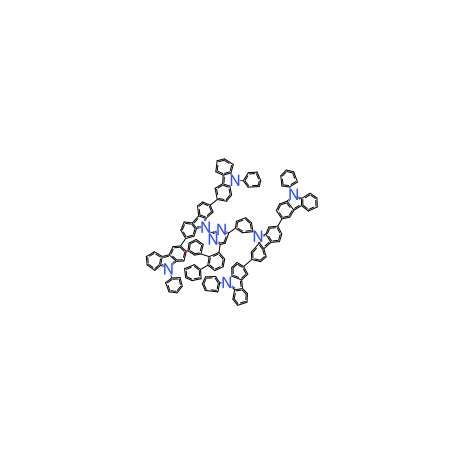 c1ccc(-c2cccc(-c3cc(-c4cccc(-n5c6cc(-c7ccc8c(c7)c7ccccc7n8-c7ccccc7)ccc6c6ccc(-c7ccc8c(c7)c7ccccc7n8-c7ccccc7)cc65)c4)nc(-n4c5cc(-c6ccc7c(c6)c6ccccc6n7-c6ccccc6)ccc5c5ccc(-c6ccc7c(c6)c6ccccc6n7-c6ccccc6)cc54)n3)c2-c2ccccc2)cc1